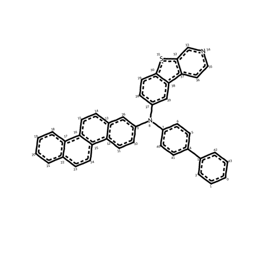 c1ccc(-c2ccc(N(c3ccc4c(ccc5c6ccccc6ccc45)c3)c3ccc4sc5cnccc5c4c3)cc2)cc1